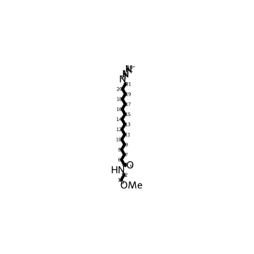 COCCNC(=O)CCCCCCCCCCCCCCCCN=[N+]=[N-]